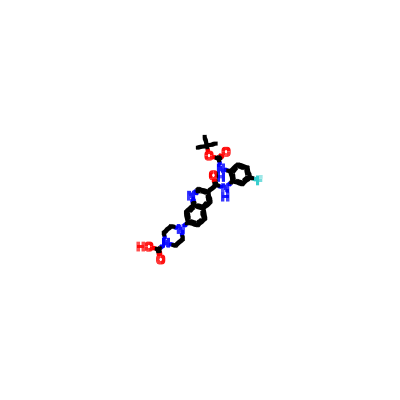 CC(C)(C)OC(=O)Nc1ccc(F)cc1NC(=O)c1cnc2cc(N3CCN(C(=O)O)CC3)ccc2c1